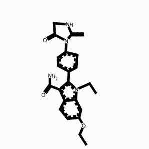 C=C1NCC(=O)N1c1ccc(-c2c(C(N)=O)c3ccc(OCC)cc3n2CC)cc1